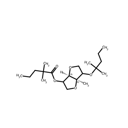 CCCC(C)(C)OC1CO[C@@H]2C(OC(=O)C(C)(C)CCC)CO[C@]12C